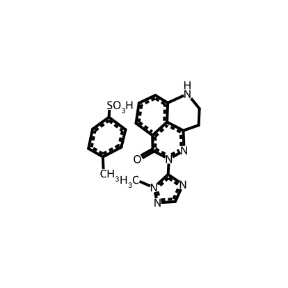 Cc1ccc(S(=O)(=O)O)cc1.Cn1ncnc1-n1nc2c3c(cccc3c1=O)NCC2